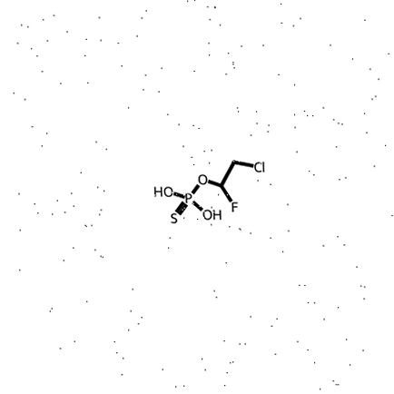 OP(O)(=S)OC(F)CCl